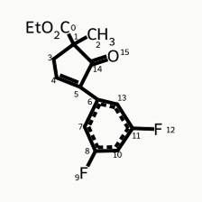 CCOC(=O)C1(C)CC=C(c2cc(F)cc(F)c2)C1=O